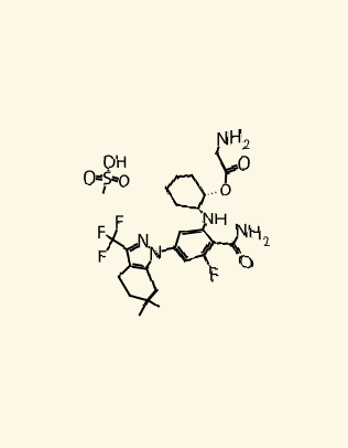 CC1(C)CCc2c(C(F)(F)F)nn(-c3cc(F)c(C(N)=O)c(N[C@H]4CCCC[C@@H]4OC(=O)CN)c3)c2C1.CS(=O)(=O)O